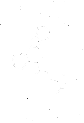 NC(CCC(=O)Nc1ccccc1-c1nc2ccccc2s1)C(=O)O